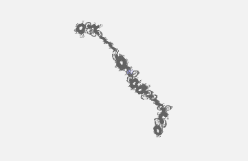 C=C(CC(=O)OC1CCCCC1)C(=O)OCCCCCCOc1ccc(/C=C/C(=O)Oc2ccc(-c3ccc(OC(=O)OCCCCOC(=O)C(=C)CC(=O)OC4CCCCC4)cc3)cc2)cc1